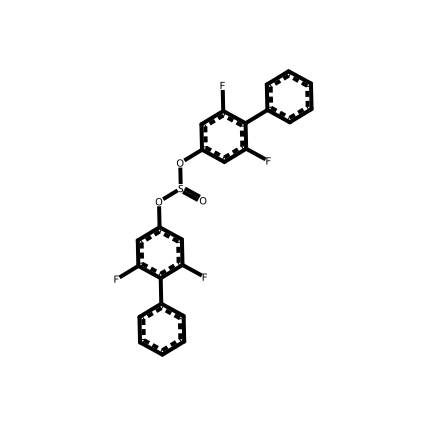 O=S(Oc1cc(F)c(-c2ccccc2)c(F)c1)Oc1cc(F)c(-c2ccccc2)c(F)c1